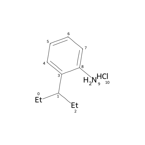 CCC(CC)c1ccccc1N.Cl